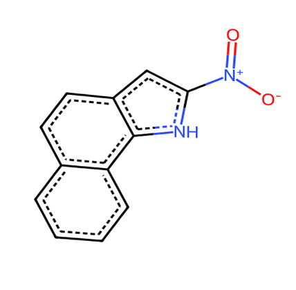 O=[N+]([O-])c1cc2ccc3ccccc3c2[nH]1